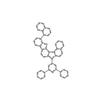 c1ccc(-c2cc(-n3c4ccc5ccccc5c4c4c5sc6c(-c7cccc8ccccc78)cccc6c5ccc43)cc(-c3ccccc3)n2)cc1